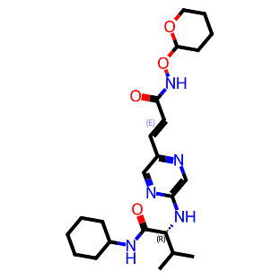 CC(C)[C@@H](Nc1cnc(/C=C/C(=O)NOC2CCCCO2)cn1)C(=O)NC1CCCCC1